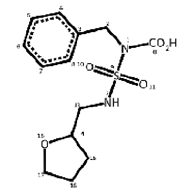 O=C(O)N(Cc1ccccc1)S(=O)(=O)NCC1CCCO1